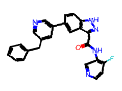 O=C(Nc1cnccc1F)c1n[nH]c2ccc(-c3cncc(Cc4ccccc4)c3)cc12